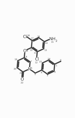 Cc1ccc(Cn2cc(Oc3c(Cl)cc(N)cc3Cl)ccc2=O)cc1